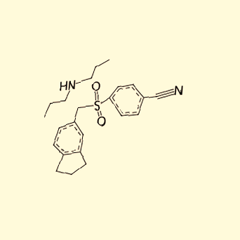 CCCNCCC.N#Cc1ccc(S(=O)(=O)Cc2ccc3c(c2)CCC3)cc1